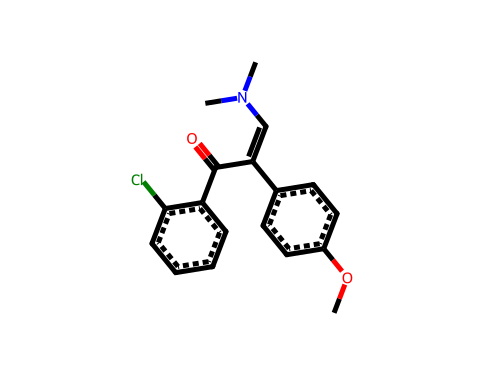 COc1ccc(C(=CN(C)C)C(=O)c2ccccc2Cl)cc1